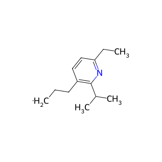 [CH2]CCc1ccc(CC)nc1C(C)C